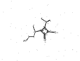 CC(C)CCN(C)c1c(N(C)C)c(=S)c1=O